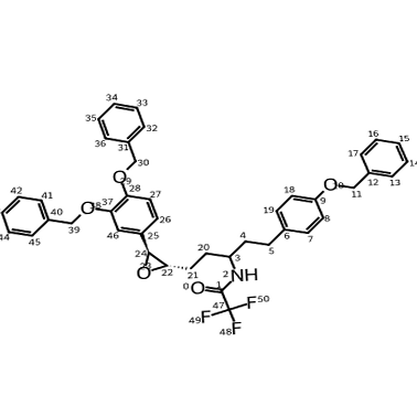 O=C(NC(CCc1ccc(OCc2ccccc2)cc1)CC[C@@H]1O[C@H]1c1ccc(OCc2ccccc2)c(OCc2ccccc2)c1)C(F)(F)F